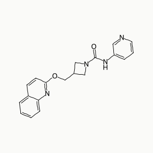 O=C(Nc1cccnc1)N1CC(COc2ccc3ccccc3n2)C1